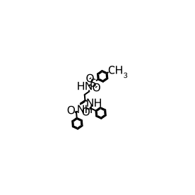 Cc1ccc(S(=O)(=O)NCCC(=CNC(=O)c2ccccc2)NC(=O)c2ccccc2)cc1